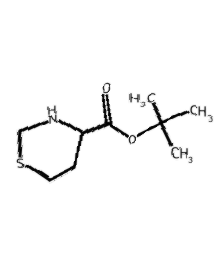 CC(C)(C)OC(=O)C1CCSCN1